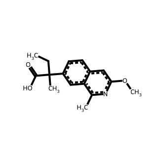 CCC(C)(C(=O)O)c1ccc2cc(OC)nc(C)c2c1